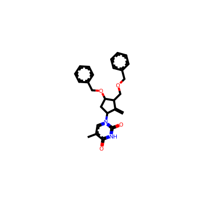 C=C1C(COCc2ccccc2)C(OCc2ccccc2)CC1n1cc(C)c(=O)[nH]c1=O